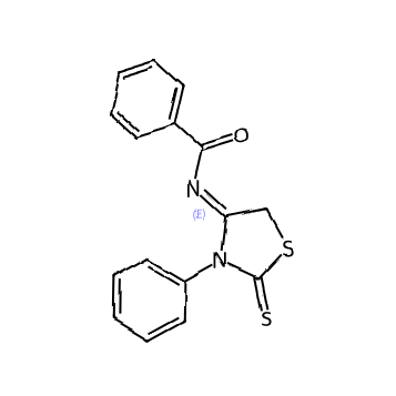 O=C(/N=C1\CSC(=S)N1c1ccccc1)c1ccccc1